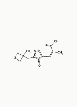 CC(=Cn1nnn(CC2(C)COC2)c1=O)C(=O)O